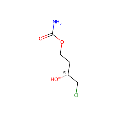 NC(=O)OCC[C@@H](O)CCl